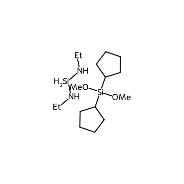 CCN[SiH2]NCC.CO[Si](OC)(C1CCCC1)C1CCCC1